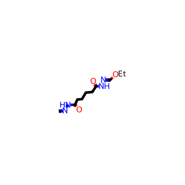 C=NNC(=O)CCCCC(=O)N/N=C/OCC